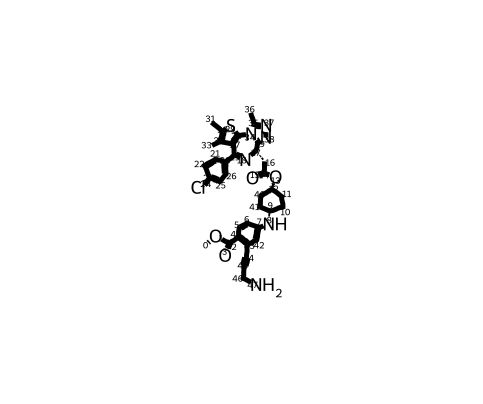 COC(=O)c1ccc(N[C@H]2CC[C@H](OC(=O)C[C@@H]3N=C(c4ccc(Cl)cc4)c4c(sc(C)c4C)-n4c(C)nnc43)CC2)cc1C#CCN